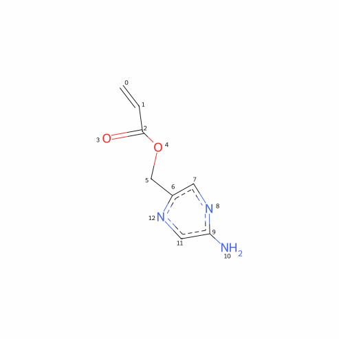 C=CC(=O)OCc1cnc(N)cn1